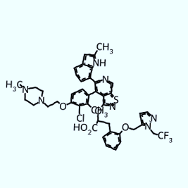 Cc1cc2cccc(-c3ncc4snc(OC(Cc5ccccc5OCc5ccnn5CC(F)(F)F)C(=O)O)c4c3-c3ccc(OCCN4CCN(C)CC4)c(Cl)c3C)c2[nH]1